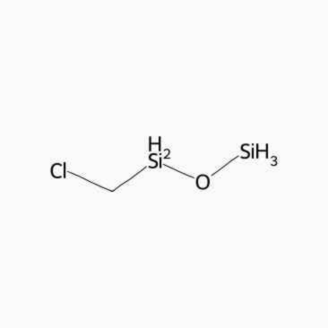 [SiH3]O[SiH2]CCl